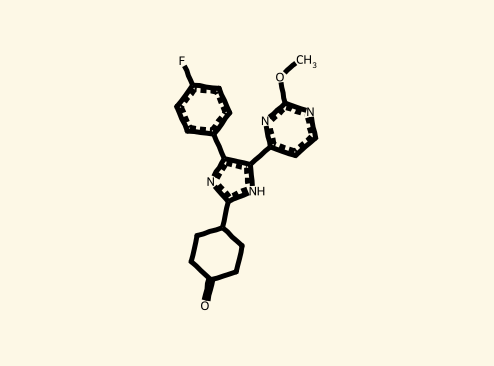 COc1nccc(-c2[nH]c(C3CCC(=O)CC3)nc2-c2ccc(F)cc2)n1